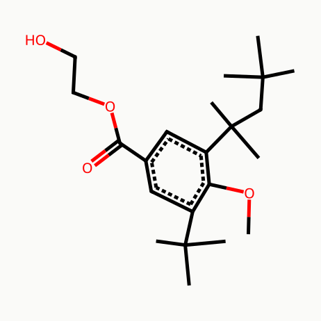 COc1c(C(C)(C)C)cc(C(=O)OCCO)cc1C(C)(C)CC(C)(C)C